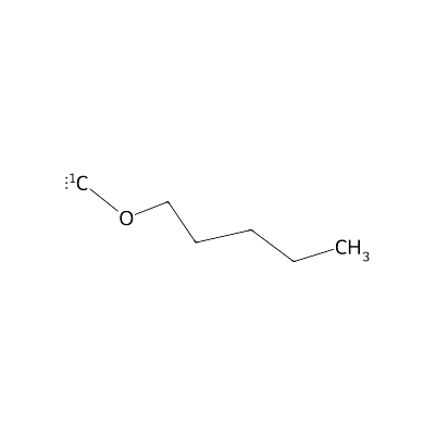 CCCCCO[1C]